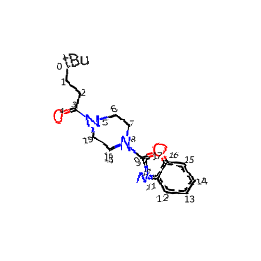 CC(C)(C)CCC(=O)N1CCN(c2nc3ccccc3o2)CC1